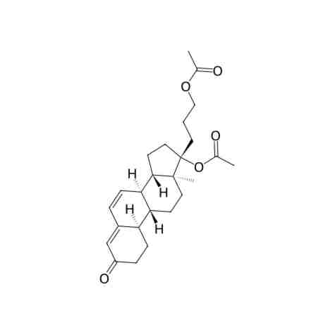 CC(=O)OCCC[C@]1(OC(C)=O)CC[C@H]2[C@@H]3C=CC4=CC(=O)CC[C@@H]4[C@H]3CC[C@@]21C